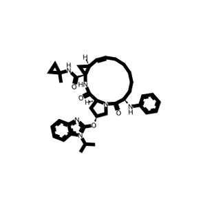 CC(C)n1c(O[C@@H]2C[C@H]3C(=O)N[C@]4(C(=O)NC5(C)CC5)C[C@H]4/C=C\CCCCC[C@H](Nc4ccccc4)C(=O)N3C2)nc2ccccc21